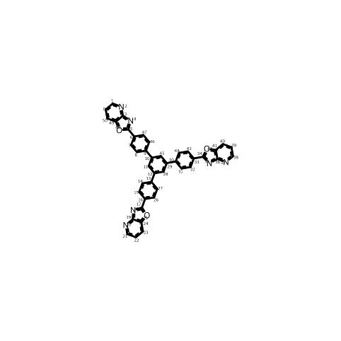 c1cnc2nc(-c3ccc(-c4cc(-c5ccc(-c6nc7ncccc7o6)cc5)cc(-c5ccc(-c6nc7ncccc7o6)cc5)c4)cc3)oc2c1